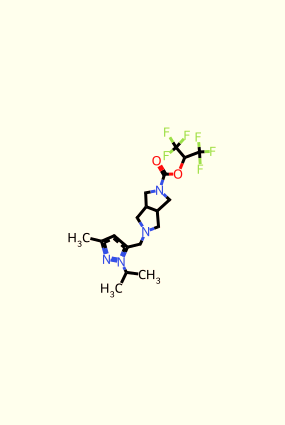 Cc1cc(CN2CC3CN(C(=O)OC(C(F)(F)F)C(F)(F)F)CC3C2)n(C(C)C)n1